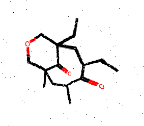 CCC1CC2(CC)COCC(C)(CC(C)C1=O)C2=O